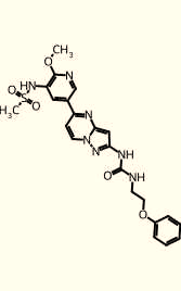 COc1ncc(-c2ccn3nc(NC(=O)NCCOc4ccccc4)cc3n2)cc1NS(C)(=O)=O